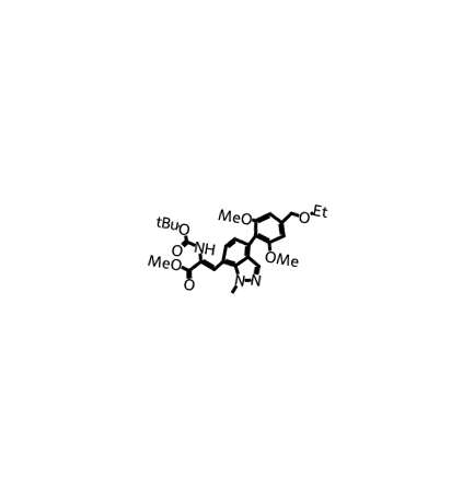 CCOCc1cc(OC)c(-c2ccc(/C=C(\NC(=O)OC(C)(C)C)C(=O)OC)c3c2cnn3C)c(OC)c1